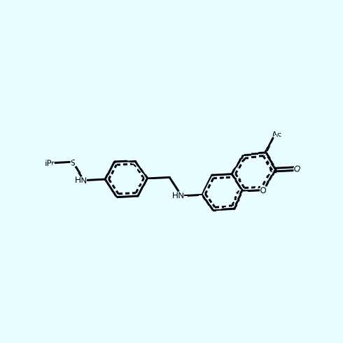 CC(=O)c1cc2cc(NCc3ccc(NSC(C)C)cc3)ccc2oc1=O